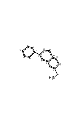 NCc1cc2cc(-c3ccccc3)ccc2cn1